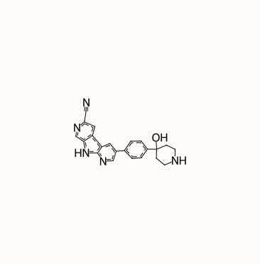 N#Cc1cc2c(cn1)[nH]c1ncc(-c3ccc(C4(O)CCNCC4)cc3)cc12